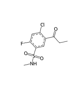 CCC(=O)c1cc(S(=O)(=O)NC)c(F)cc1Cl